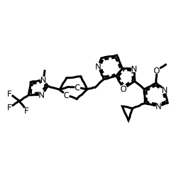 COc1ncnc(C2CC2)c1-c1nc2ccnc(CC34CCC(c5nc(C(F)(F)F)cn5C)(CC3)CC4)c2o1